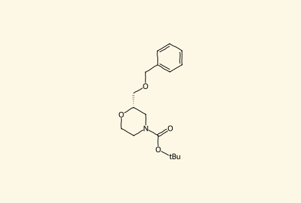 CC(C)(C)OC(=O)N1CCO[C@H](COCc2ccccc2)C1